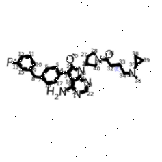 COc1c(-c2ccc(Cc3cccc(F)c3)cc2)c2c(N)ncnc2n1[C@@H]1CCN(C(=O)/C=C/CN(C)C2CC2)C1